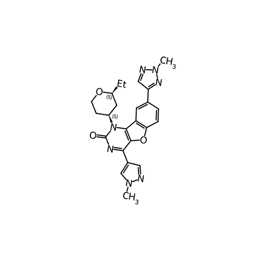 CC[C@H]1C[C@@H](n2c(=O)nc(-c3cnn(C)c3)c3oc4ccc(-c5cnn(C)n5)cc4c32)CCO1